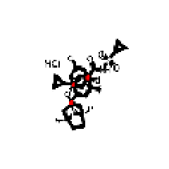 Cl.O=C(NS(=O)(=O)C1CC1)c1cc(C2CC2)c(CN2[C@@H]3CC[C@H]2C[C@@H](Oc2cc(Cl)cc(Cl)c2)C3)cc1F